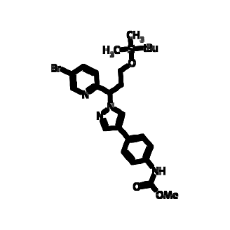 COC(=O)Nc1ccc(-c2cnn(C(CCO[Si](C)(C)C(C)(C)C)c3ccc(Br)cn3)c2)cc1